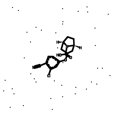 N#Cc1ccc(OC2C[C@H]3CC[C@@H](C2)N3C(=O)O)cc1Cl